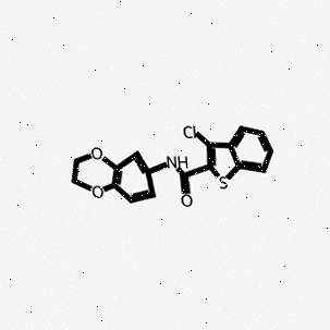 O=C(Nc1ccc2c(c1)OCCO2)c1sc2ccccc2c1Cl